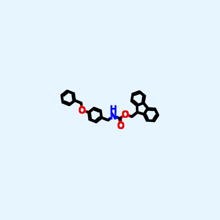 O=C(NCc1ccc(OCc2ccccc2)cc1)OCC1c2ccccc2-c2ccccc21